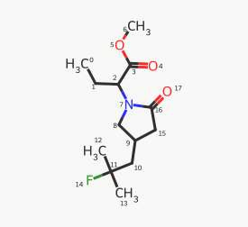 CCC(C(=O)OC)N1CC(CC(C)(C)F)CC1=O